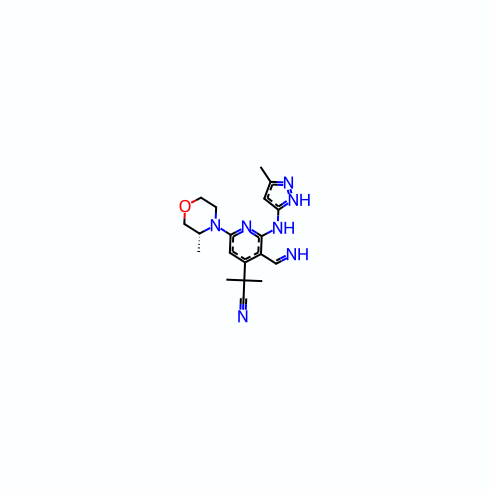 Cc1cc(Nc2nc(N3CCOC[C@H]3C)cc(C(C)(C)C#N)c2C=N)[nH]n1